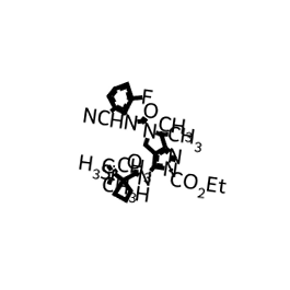 CCOC(=O)n1nc2c(c1NC(=O)C1([Si](C)(C)C)CCC1)CN(C(=O)Nc1c(F)cccc1C#N)C2(C)C